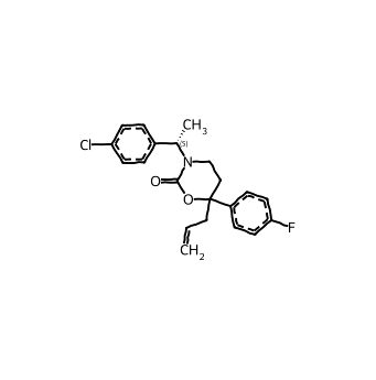 C=CCC1(c2ccc(F)cc2)CCN([C@@H](C)c2ccc(Cl)cc2)C(=O)O1